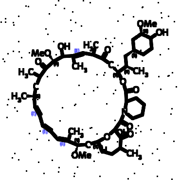 CO[C@H]1C[C@@H]2CCC(C)C(=O)C(O)(O2)C(=O)N2CCCCC2C(=O)O[C@H]([C@H](C)C[C@@H]2CCC(O)[C@H](OC)C2)CC(=O)C(C)/C=C(\C)C(O)[C@@H](OC)C(=O)C(C)C[C@H](C)/C=C/C=C/C=C/1C